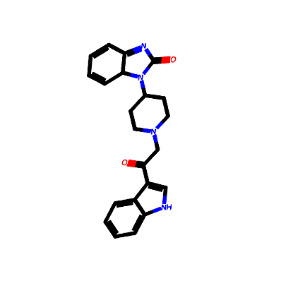 O=C(CN1CCC(N2C(=O)N=C3C=CC=CC32)CC1)c1c[nH]c2ccccc12